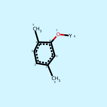 Cc1ccc(C)c([O][Y])c1